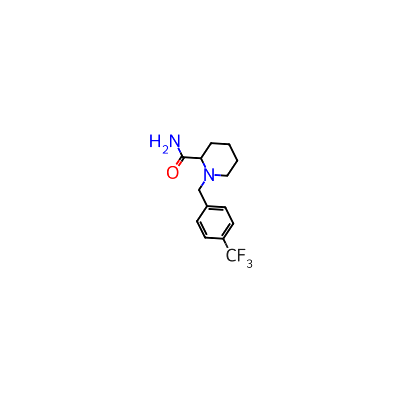 NC(=O)C1CCCCN1Cc1ccc(C(F)(F)F)cc1